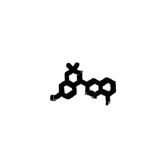 CC1(C)Cc2cc(Cl)ccc2C(c2cc3cccc(F)c3nn2)=N1